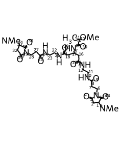 CNC1CC(=O)N(CCC(=O)NCCNC(=O)CC(CC(=O)NCCNC(=O)CCN2C(=O)CC(NC)C2=O)NC(=O)C(C)OC)C1=O